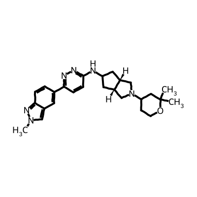 Cn1cc2cc(-c3ccc(NC4C[C@@H]5CN(C6CCOC(C)(C)C6)C[C@@H]5C4)nn3)ccc2n1